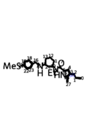 C=C/C=c1/cc(C(=O)N(CC)C2CCCC(NCc3ccc(SC)cc3)C2)[nH]c1=C